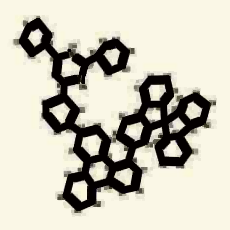 c1ccc(-c2cc(-c3cccc(-c4ccc5c(c4)c4ccccc4c4cccc(-c6ccc7c(c6)C6(c8ccccc8-c8ccccc86)c6ccccc6-7)c45)c3)nc(-c3ccccc3)n2)cc1